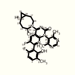 Cc1ccc(F)c(-c2nc3c(cc2F)c(N2CCC4C[C@@H]4CC[C@@H]2C)nc(=O)n3-c2c(C)ncnc2C)c1O